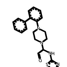 O=CC(Nc1nccs1)N1CCN(c2ccccc2-c2ccccc2)CC1